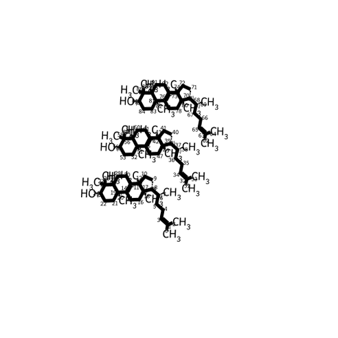 CC(C)=CCC[C@@H](C)[C@H]1CC[C@@]2(C)C3=C(CC[C@]12C)[C@@]1(C)CC[C@H](O)C(C)(C)[C@@H]1CC3.CC(C)=CCC[C@@H](C)[C@H]1CC[C@@]2(C)C3=C(CC[C@]12C)[C@@]1(C)CC[C@H](O)C(C)(C)[C@@H]1CC3.CC(C)=CCC[C@@H](C)[C@H]1CC[C@@]2(C)C3=C(CC[C@]12C)[C@@]1(C)CC[C@H](O)C(C)(C)[C@@H]1CC3